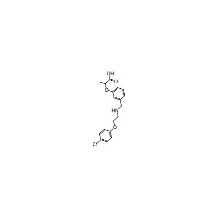 CC(Oc1cccc(CNCCOc2ccc(Cl)cc2)c1)C(=O)O